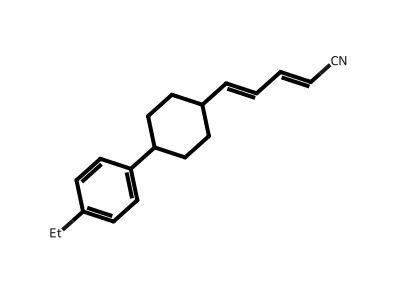 CCc1ccc(C2CCC(C=CC=CC#N)CC2)cc1